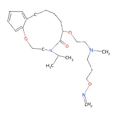 C=NOCCCN(C)CCOC1CCCCc2ccccc2OCCN(C(C)C)C1=O